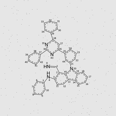 N=Cc1c(Nc2ccccc2)ccc2c3ccccc3n(-c3cccc(-c4cc(-c5ccccc5)nc(-c5ccccc5)n4)c3)c12